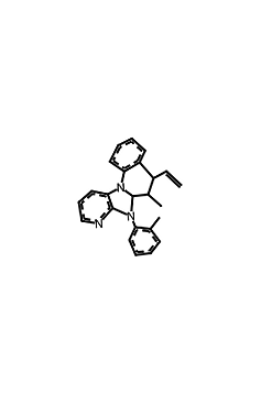 C=CC1c2ccccc2N2c3cccnc3N(c3ccccc3C)C2C1C